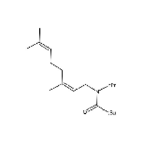 CCCN(C/C=C(/C)CCC=C(C)C)C(=O)C(C)(C)C